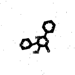 CCCCc1c(-c2ccncc2)[nH]c(-c2ccccc2)nc1=O